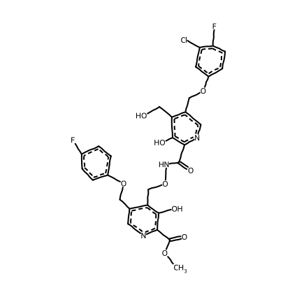 COC(=O)c1ncc(COc2ccc(F)cc2)c(CONC(=O)c2ncc(COc3ccc(F)c(Cl)c3)c(CO)c2O)c1O